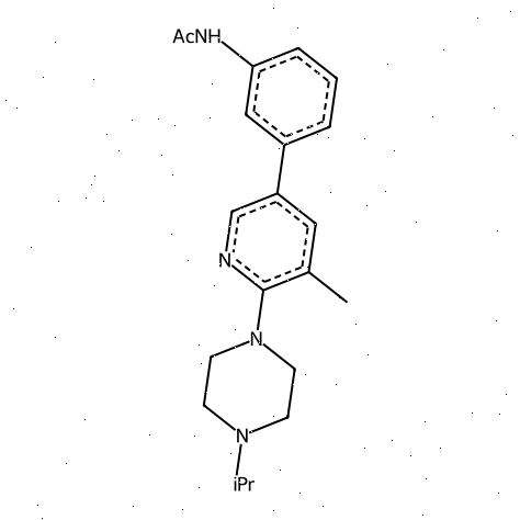 CC(=O)Nc1cccc(-c2cnc(N3CCN(C(C)C)CC3)c(C)c2)c1